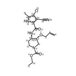 C=CCO[C@H]1CN(C(=O)OCC)CC[C@H]1NC(=O)c1[nH]c(C)c(Cl)c1C#N